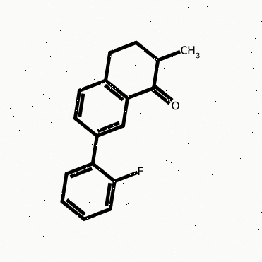 CC1CCc2ccc(-c3ccccc3F)cc2C1=O